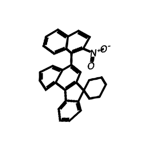 O=[N+]([O-])c1ccc2ccccc2c1-c1cc2c(c3ccccc13)-c1ccccc1C21CCCCC1